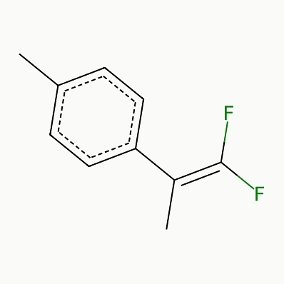 CC(=C(F)F)c1ccc(C)cc1